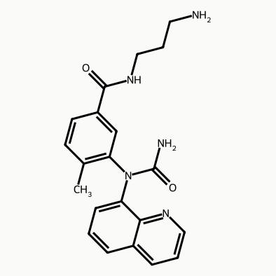 Cc1ccc(C(=O)NCCCN)cc1N(C(N)=O)c1cccc2cccnc12